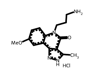 COc1ccc2c(c1)c1n[nH]c(C)c1c(=O)n2CCCN.Cl